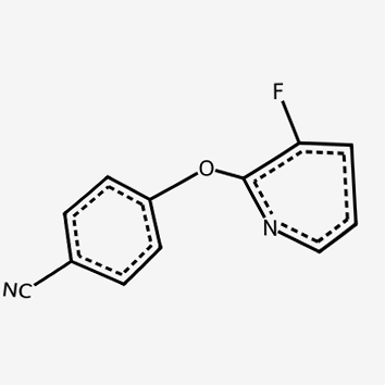 N#Cc1ccc(Oc2ncccc2F)cc1